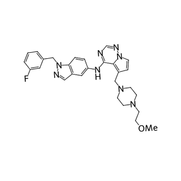 COCCN1CCN(Cc2ccn3ncnc(Nc4ccc5c(cnn5Cc5cccc(F)c5)c4)c23)CC1